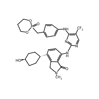 CN1Cc2c(c(Nc3ncc(C(F)(F)F)c(Nc4ccc(CP5(=O)OCCCO5)cc4)n3)ccc2[C@H]2CC[C@H](O)CC2)C1=O